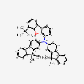 CC(C)(C)c1cccc2c1oc1c(N(c3ccc4c(c3)C(C)(C)c3ccccc3-4)c3ccc4c(c3)C(C)(C)c3ccccc3-4)cccc12